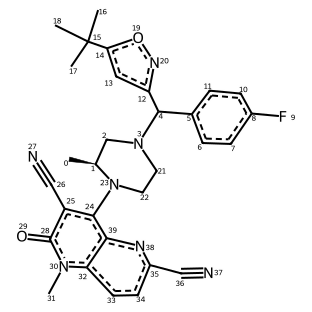 C[C@H]1CN(C(c2ccc(F)cc2)c2cc(C(C)(C)C)on2)CCN1c1c(C#N)c(=O)n(C)c2ccc(C#N)nc12